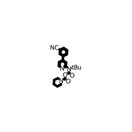 CC(C)(C)N(C(=O)OC(=O)N1CCCCC1)c1cc(-c2cccc(C#N)c2)ccn1